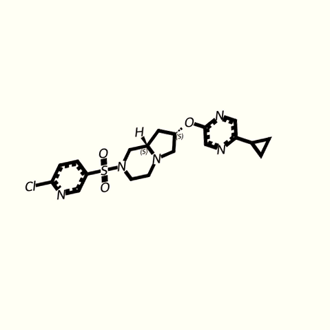 O=S(=O)(c1ccc(Cl)nc1)N1CCN2C[C@@H](Oc3cnc(C4CC4)cn3)C[C@H]2C1